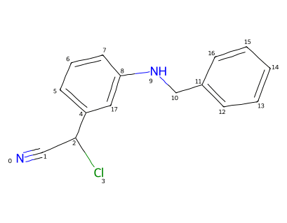 N#CC(Cl)c1cccc(NCc2ccccc2)c1